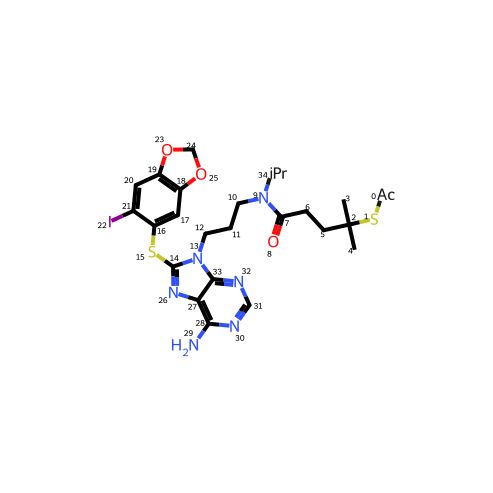 CC(=O)SC(C)(C)CCC(=O)N(CCCn1c(Sc2cc3c(cc2I)OCO3)nc2c(N)ncnc21)C(C)C